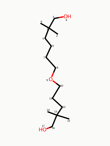 CC(C)(CO)CCCCOCCCC(C)(C)CO